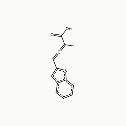 CC(=C=Cc1cc2ccccc2s1)C(=O)O